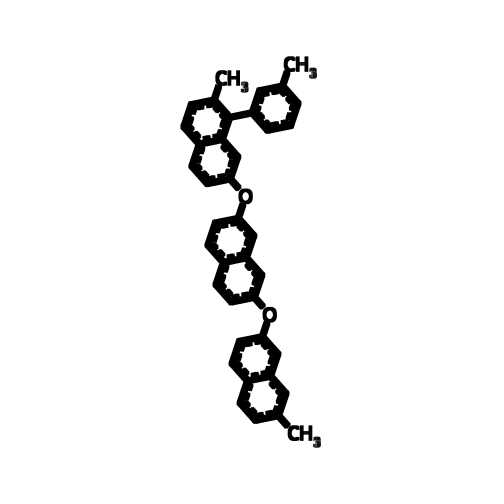 Cc1cccc(-c2c(C)ccc3ccc(Oc4ccc5ccc(Oc6ccc7ccc(C)cc7c6)cc5c4)cc23)c1